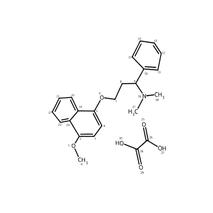 COc1ccc(OCCC(c2ccccc2)N(C)C)c2ccccc12.O=C(O)C(=O)O